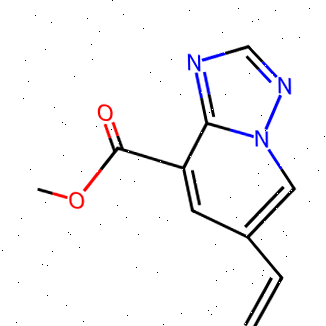 C=Cc1cc(C(=O)OC)c2ncnn2c1